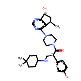 CC1C[C@@H](O)c2ncnc(N3CCN(C(=O)[C@H](CNC4CCC(C)(C)CC4)c4ccc(Br)cc4)CC3)c21